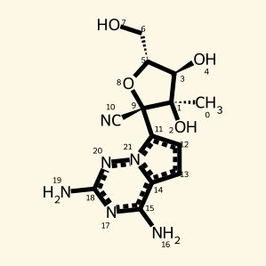 C[C@@]1(O)[C@H](O)[C@@H](CO)O[C@@]1(C#N)c1ccc2c(N)nc(N)nn12